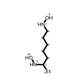 CCC(CCCCCNO)NO